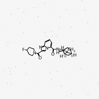 CC1(C)[C@H]2CC[C@@H](CNC(=O)c3cccc4nc(C(=O)N5CCC(F)CC5)cn34)[C@@H]1C2